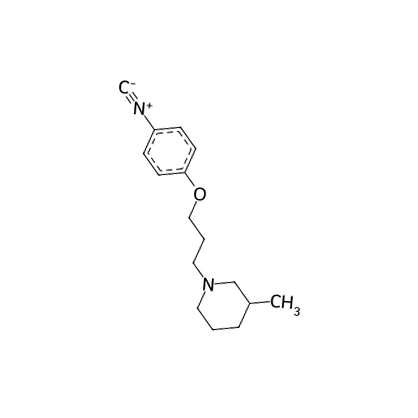 [C-]#[N+]c1ccc(OCCCN2CCCC(C)C2)cc1